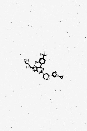 OCCNc1nc2nc([C@@H]3CCO[C@@H](c4cnn(C5CC5)c4)C3)nc(-c3ccc(C(F)(F)F)cc3F)c2s1